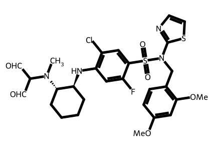 COc1ccc(CN(c2nccs2)S(=O)(=O)c2cc(Cl)c(N[C@H]3CCCC[C@@H]3N(C)C(C=O)C=O)cc2F)c(OC)c1